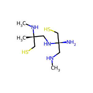 CNC[C@@](N)(CS)NC[C@](C)(CS)NC